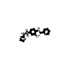 C[C@H](Nc1ccc(S(=O)(=O)Nc2nccs2)cc1Cl)c1ccccn1